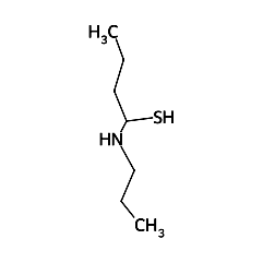 CCCNC(S)CCC